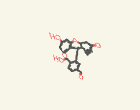 O=Cc1ccc(C(=O)O)c(-c2c3ccc(=O)cc-3oc3cc(O)ccc23)c1